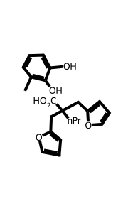 CCCC(Cc1ccco1)(Cc1ccco1)C(=O)O.Cc1cccc(O)c1O